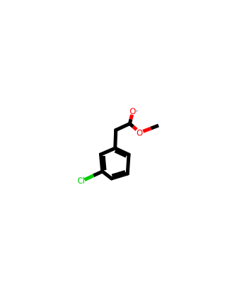 COC([O])Cc1cccc(Cl)c1